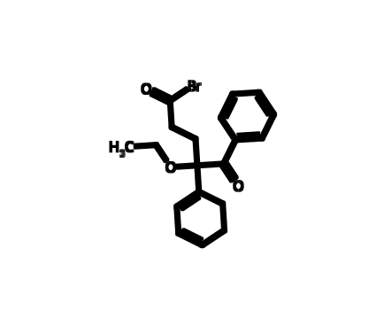 CCOC(CCC(=O)Br)(C(=O)c1ccccc1)C1=CC=CCC1